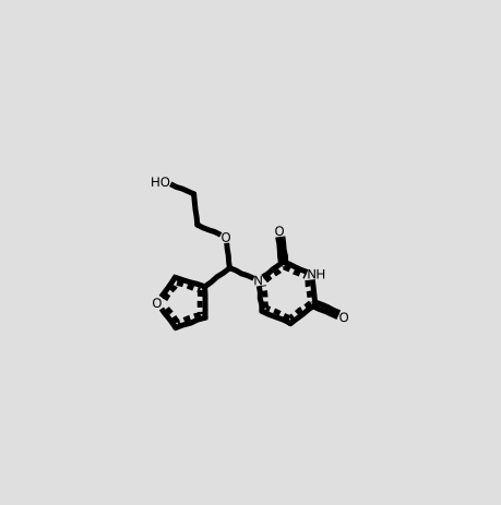 O=c1ccn(C(OCCO)c2ccoc2)c(=O)[nH]1